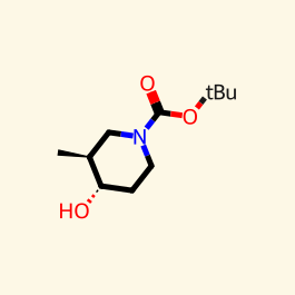 C[C@H]1CN(C(=O)OC(C)(C)C)CC[C@@H]1O